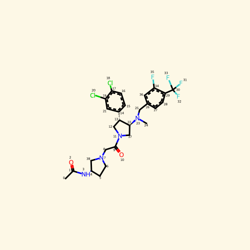 CC(=O)N[C@H]1CCN(CC(=O)N2C[C@H](c3ccc(Cl)c(Cl)c3)[C@@H](N(C)Cc3ccc(C(F)(F)F)c(F)c3)C2)C1